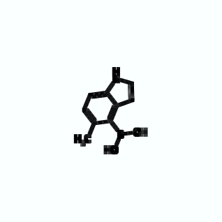 Cc1ccc2[nH]ccc2c1B(O)O